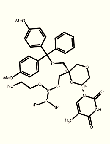 COc1ccc(C(OC[C@@]2(COP(OCCC#N)N(C(C)C)C(C)C)COC[C@H](n3cc(C)c(=O)[nH]c3=O)O2)(c2ccccc2)c2ccc(OC)cc2)cc1